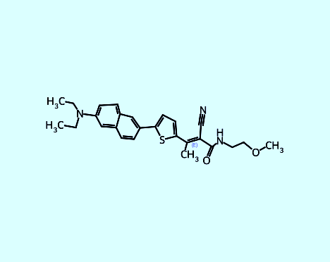 CCN(CC)c1ccc2cc(-c3ccc(/C(C)=C(\C#N)C(=O)NCCOC)s3)ccc2c1